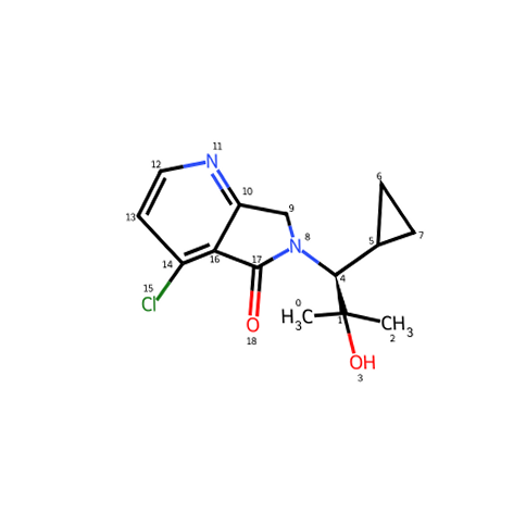 CC(C)(O)[C@H](C1CC1)N1Cc2nccc(Cl)c2C1=O